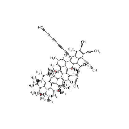 BBB(B)B(B(B)B)c1c(B(B(B)B)B(B)B)c(B(BB)B(B)B)c(B(B)B(B)B)c2c(B(B)BB)c(-c3c(C)c(C)c(C)c4c(C)c5c(-c6c(C=C)c(C(=C)C#CC#CC)c7c(C#CC#C)c(C#CC)c(C#C)c(C)c7c6C#CC#CC#CC#CC#C)c(C)c(C)c(C)c5c(C)c34)c(BB)c(B)c12